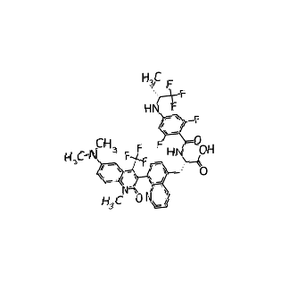 CC[C@@H](Nc1cc(F)c(C(=O)N[C@@H](Cc2ccc(-c3c(C(F)(F)F)c4cc(N(C)C)ccc4n(C)c3=O)c3ncccc23)C(=O)O)c(F)c1)C(F)(F)F